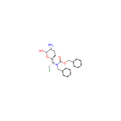 N[C@@H]1CC[C@@H]([C@@H](CF)N(Cc2ccccc2)C(=O)OCc2ccccc2)OC1O